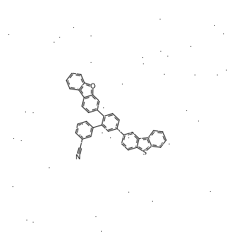 N#Cc1cccc(-c2cc(-c3ccc4sc5ccccc5c4c3)ccc2-c2ccc3c(c2)oc2ccccc23)c1